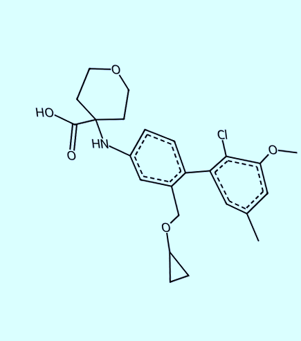 COc1cc(C)cc(-c2ccc(NC3(C(=O)O)CCOCC3)cc2COC2CC2)c1Cl